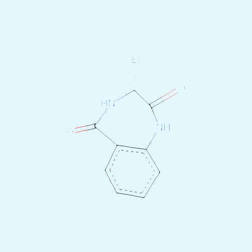 CC[C@H]1NC(=O)c2ccccc2NC1=O